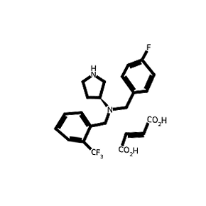 Fc1ccc(CN(Cc2ccccc2C(F)(F)F)[C@H]2CCNC2)cc1.O=C(O)C=CC(=O)O